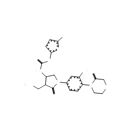 COCC1C(=O)N(c2ccc(N3CCOCC3=O)c(C)c2)CC1NC(=O)Oc1ccc(Br)s1